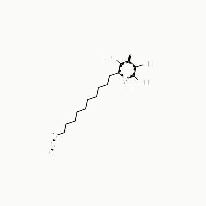 Cc1c(C)n(O)c(CCCCCCCCCCN=[N+]=[N-])c(C)c1=O